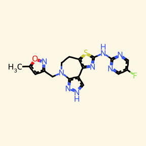 Cc1cc(CN2CCc3sc(Nc4ncc(F)cn4)nc3-c3c[nH]nc32)no1